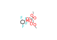 CCOC(=O)CC(O)(C=O)C(=O)OCC.Fc1ccc(F)c(F)c1F